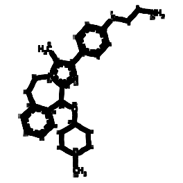 Cc1c(-c2ccc(SCCN)cc2)nc2n1CCc1ccccc1C2OC1CCN(C)CC1